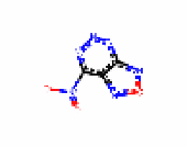 O=[N+]([O-])c1nnnc2nonc12